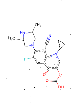 CC1CN(c2c(F)cc3c(=O)c(OC(=O)O)cn(C4CC4)c3c2C#N)CC(C)N1